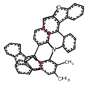 Cc1cc2c(c(N(c3ccccc3-c3cccc4oc5ccccc5c34)c3ccccc3-c3cccc4oc5ccccc5c34)c1C)Cc1ccccc1-2